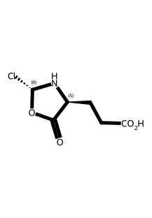 O=C(O)CC[C@@H]1N[C@@H](Cl)OC1=O